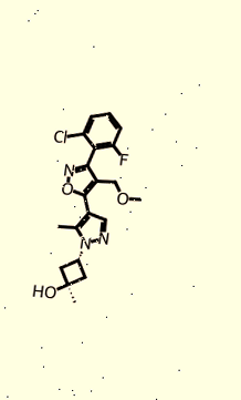 COCc1c(-c2c(F)cccc2Cl)noc1-c1cnn([C@H]2C[C@](C)(O)C2)c1C